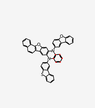 c1ccc(N(c2ccc3oc4ccccc4c3c2)c2cc3oc4c5ccccc5ccc4c3cc2N(c2ccccc2)c2ccc3sc4ccccc4c3c2)cc1